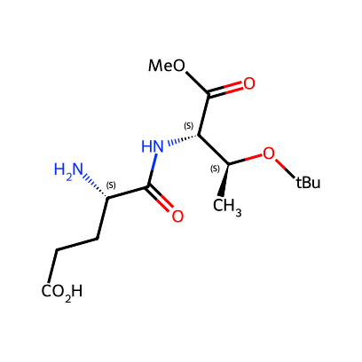 COC(=O)[C@@H](NC(=O)[C@@H](N)CCC(=O)O)[C@H](C)OC(C)(C)C